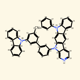 N#Cc1cc(-c2cccc(-n3c4cnccc4c4cc5c6ccccc6n(-c6ccccc6)c5cc43)c2)cc(-n2c3ccccc3c3ccccc32)c1